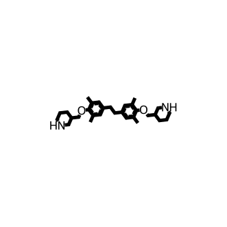 Cc1cc(CCc2cc(C)c(OCC3CCCNC3)c(C)c2)cc(C)c1OCC1CCCNC1